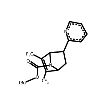 CC(C)(C)OC(=O)N1C2CC(c3ccccn3)C1C(C(F)(F)F)=C2C(F)(F)F